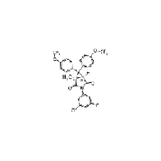 C[C@@]12C(=O)N(c3cc(Cl)cc(Cl)c3)C(=O)[C@@H]1C2(c1ccc(OC(F)(F)F)cc1)c1ccc(OC(F)(F)F)cc1